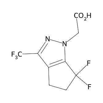 O=C(O)Cn1nc(C(F)(F)F)c2c1C(F)(F)CC2